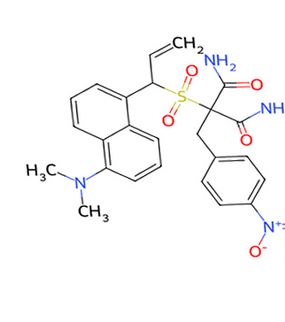 C=CC(c1cccc2c(N(C)C)cccc12)S(=O)(=O)C(Cc1ccc([N+](=O)[O-])cc1)(C(N)=O)C(N)=O